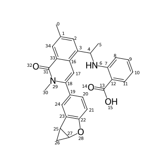 Cc1cc(C(C)Nc2ccccc2C(=O)O)c2cc(-c3ccc4c(c3)C3CC3O4)n(C)c(=O)c2c1